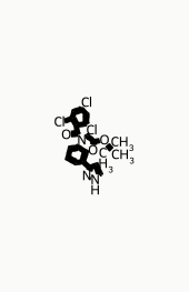 CC(C)(C)OC(=O)CN(C(=O)c1c(Cl)cc(Cl)cc1Cl)c1cccc(-c2cc[nH]n2)c1